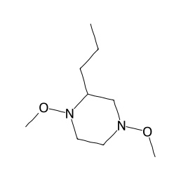 CCCC1CN(OC)CCN1OC